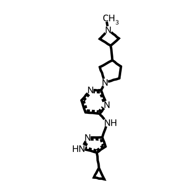 CN1CC(C2CCN(c3nccc(Nc4cc(C5CC5)[nH]n4)n3)C2)C1